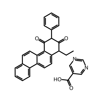 CCC1C(=O)C(c2ccccc2)C(=O)c2c1ccc1c2ccc2ccccc21.O=C(O)c1cncnc1